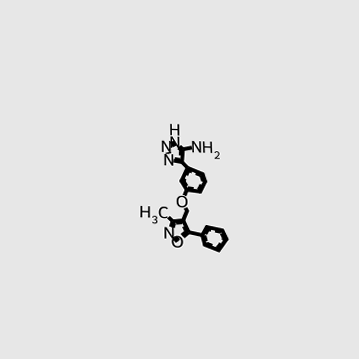 Cc1noc(-c2ccccc2)c1COc1cccc(-c2nn[nH]c2N)c1